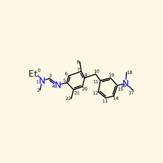 CCN(C)C=Nc1cc(C)c(Cc2cccc(N(C)C)c2)cc1C